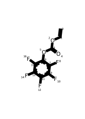 C=COC(=O)Oc1c(F)c(F)c(F)c(F)c1F